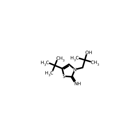 CC(C)(O)Cn1cc(C(C)(C)C)sc1=N